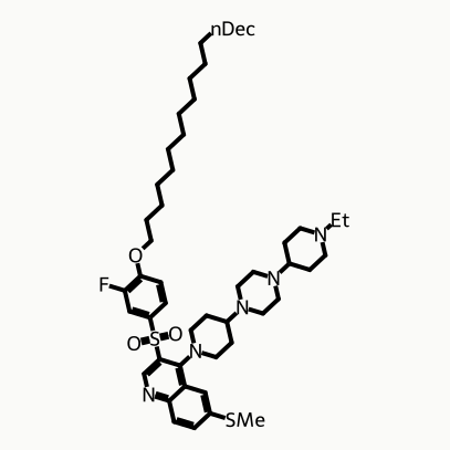 CCCCCCCCCCCCCCCCCCCCCCOc1ccc(S(=O)(=O)c2cnc3ccc(SC)cc3c2N2CCC(N3CCN(C4CCN(CC)CC4)CC3)CC2)cc1F